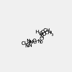 CC(C)(C)OC(=O)N1CCC2(CCCN2CC2CCC(n3cnc4c(Cl)ncnc43)O2)CC1